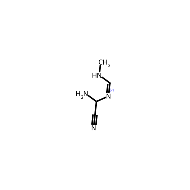 CN/C=N\C(N)C#N